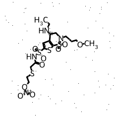 CCN[C@H]1CN(CCCOC)S(=O)(=O)c2sc(S(=O)(=O)NC(=O)CSCCO[N+](=O)[O-])cc21